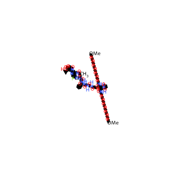 COCCOCCOCCOCCOCCOCCOCCOCCNC(=O)c1cc(N2C(=O)C=CC2=O)cc(C(=O)NCCOCCOCCOCCOCCOCCOCCOCCOC)c1OCCCC(=O)NCC(=O)NCC(=O)N[C@@H](Cc1ccccc1)C(=O)NCC(=O)NCO[C@H](C)C(=O)NCc1c2c(nc3cc(F)c(C)cc13)-c1cc3c(c(=O)n1C2)COC(=O)[C@]3(O)CC1CC1